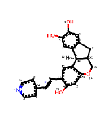 Oc1cc2c(cc1O)[C@@H]1c3cc(/C=C/c4ccncc4)c(O)cc3OCC1C2